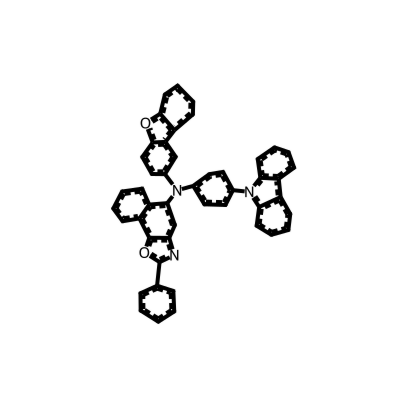 c1ccc(-c2nc3cc(N(c4ccc(-n5c6ccccc6c6ccccc65)cc4)c4ccc5oc6ccccc6c5c4)c4ccccc4c3o2)cc1